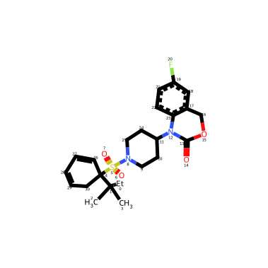 CCC(C)(C)C1(S(=O)(=O)N2CCC(N3C(=O)OCc4cc(F)ccc43)CC2)C=CC=CC1